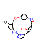 Cc1ccc2cc1COc1ccc(cc1)NC(=O)c1ccc(c(O)c1)-c1ccnc(n1)N2